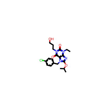 CCn1c(=O)n(CCCO)c(=O)c2c1nc(OC(C)C)n2Cc1ccc(Cl)cc1